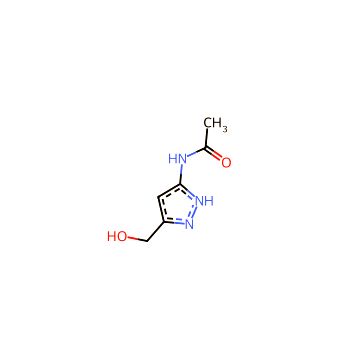 CC(=O)Nc1cc(CO)n[nH]1